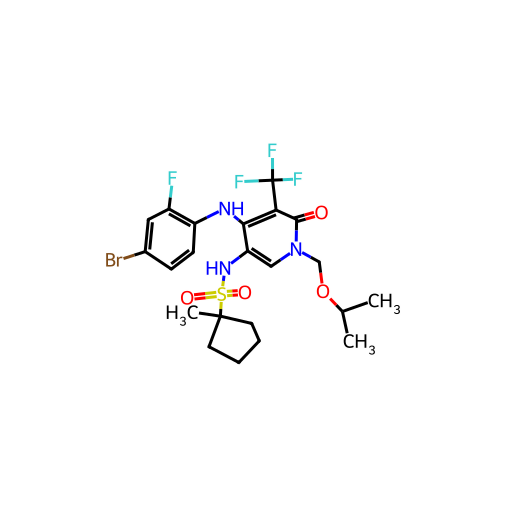 CC(C)OCn1cc(NS(=O)(=O)C2(C)CCCC2)c(Nc2ccc(Br)cc2F)c(C(F)(F)F)c1=O